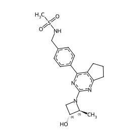 C[C@H]1[C@H](O)CN1c1nc2c(c(-c3ccc(CNS(C)(=O)=O)cc3)n1)CCC2